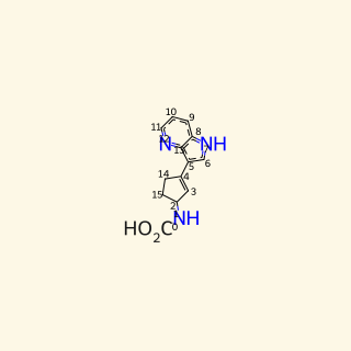 O=C(O)NC1C=C(c2c[nH]c3cccnc23)CC1